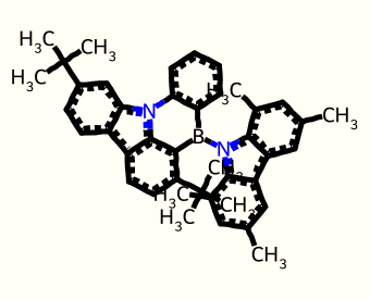 Cc1cc(C)c2c(c1)c1cc(C)cc(C)c1n2B1c2ccccc2-n2c3cc(C(C)(C)C)ccc3c3ccc(C(C)(C)C)c1c32